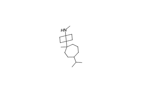 CNC12CCC1(C1(C)CCCC(C(C)C)CC1)CC2